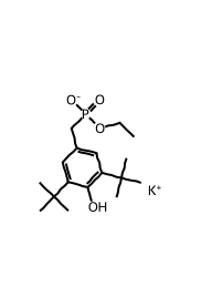 CCOP(=O)([O-])Cc1cc(C(C)(C)C)c(O)c(C(C)(C)C)c1.[K+]